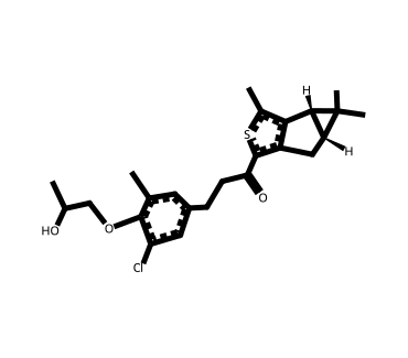 Cc1cc(CCC(=O)c2sc(C)c3c2C[C@@H]2[C@H]3C2(C)C)cc(Cl)c1OCC(C)O